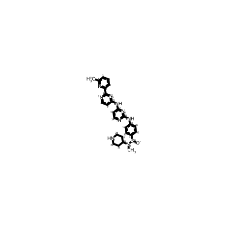 Cc1cccc(-c2nccc(Nc3ccnc(Nc4ccc([S+]([O-])N(C)C5CCNCC5)cc4)n3)n2)n1